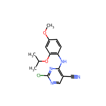 COc1ccc(Nc2nc(Cl)ncc2C#N)c(OC(C)C)c1